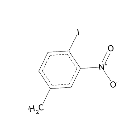 [CH2]c1ccc(I)c([N+](=O)[O-])c1